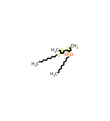 CCCCCCCCCCSc1cc(-c2sc(C)cc2S(=O)(=O)CCCCCCCCCC)sc1C